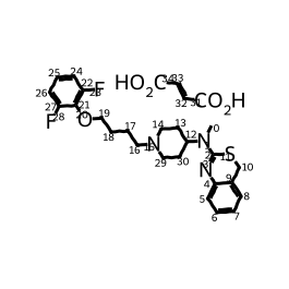 CN(C1=Nc2ccccc2CS1)C1CCN(CCCCOc2c(F)cccc2F)CC1.O=C(O)C=CC(=O)O